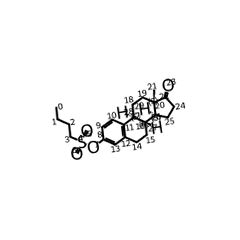 CCCCS(=O)(=O)Oc1ccc2c(c1)CC[C@@H]1[C@@H]2CC[C@]2(C)C(=O)CC[C@@H]12